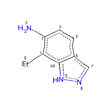 CCc1c(N)ccc2cn[nH]c12